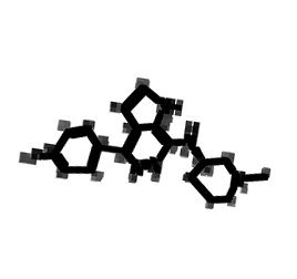 CN1CCC[C@@H](Nc2nnc(-c3ccc(F)cc3)c3cc[nH]c23)C1